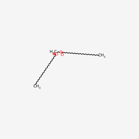 CCCCCCCCCCCCCCCCCCCCCCCCCCCC(=O)OCCC(C)OC(=O)CCCCCCCCCCCCCCCCCCCCCCCCCCC